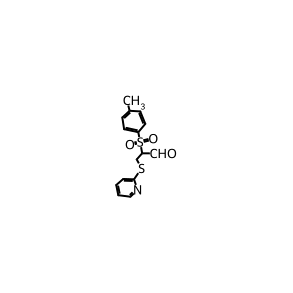 Cc1ccc(S(=O)(=O)C(C=O)CSc2ccccn2)cc1